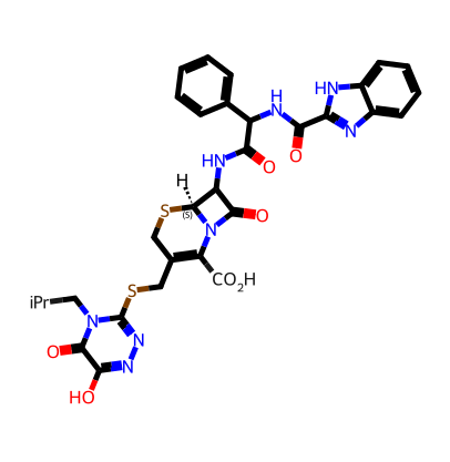 CC(C)Cn1c(SCC2=C(C(=O)O)N3C(=O)C(NC(=O)C(NC(=O)c4nc5ccccc5[nH]4)c4ccccc4)[C@@H]3SC2)nnc(O)c1=O